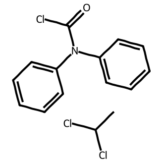 CC(Cl)Cl.O=C(Cl)N(c1ccccc1)c1ccccc1